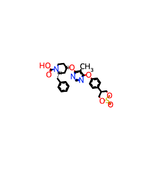 Cc1c(Oc2ccc(C3COS(=O)OC3)cc2)ncnc1O[C@H]1CCN(C(=O)O)[C@@H](Cc2ccccc2)C1